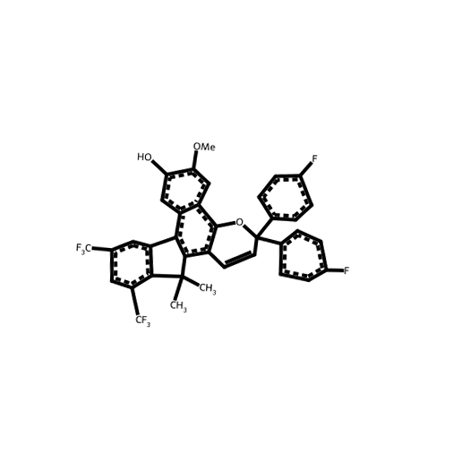 COc1cc2c3c(c4c(c2cc1O)-c1cc(C(F)(F)F)cc(C(F)(F)F)c1C4(C)C)C=CC(c1ccc(F)cc1)(c1ccc(F)cc1)O3